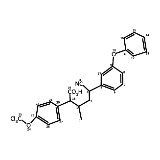 CC(CC(C#N)c1cccc(Oc2ccccc2)c1)C(C(=O)O)c1ccc(OC(Cl)(Cl)Cl)cc1